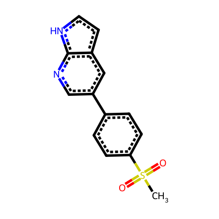 CS(=O)(=O)c1ccc(-c2cnc3[nH]ccc3c2)cc1